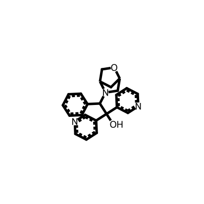 OC(c1cccnc1)(c1cccnc1)C(c1ccccc1)N1CC2CC1CO2